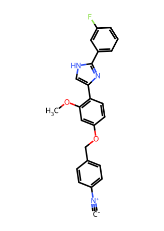 [C-]#[N+]c1ccc(COc2ccc(-c3c[nH]c(-c4cccc(F)c4)n3)c(OC)c2)cc1